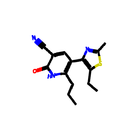 CCCc1[nH]c(=O)c(C#N)cc1-c1nc(C)sc1CC